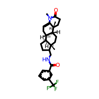 CN1C(=O)CC[C@@]2(C)C1=CC[C@@H]1[C@H]2CC[C@]2(C)C(CNC(=O)c3cccc(C(F)(F)F)c3)CC[C@@H]12